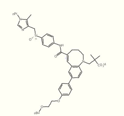 CCCCOCCOc1ccc(-c2ccc3c(c2)/C=C(/C(=O)Nc2ccc([S@+]([O-])Cc4ncn(CCC)c4C)cc2)CCCN3CC(C)(C)C(=O)O)cc1